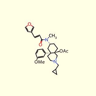 COc1cccc([C@@]23CCN(CC4CC4)C[C@@]2(OC(C)=O)CC[C@@H](N(C)C(=O)/C=C/c2ccoc2)C3)c1